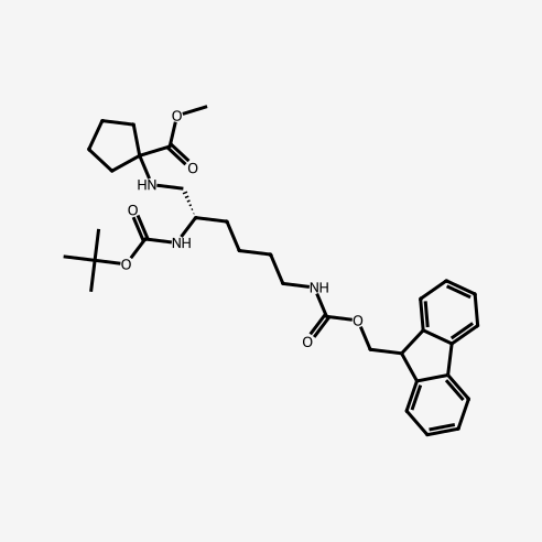 COC(=O)C1(NC[C@H](CCCCNC(=O)OCC2c3ccccc3-c3ccccc32)NC(=O)OC(C)(C)C)CCCC1